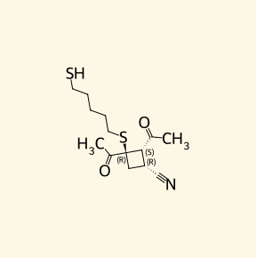 CC(=O)[C@@H]1[C@H](C#N)C[C@]1(SCCCCCS)C(C)=O